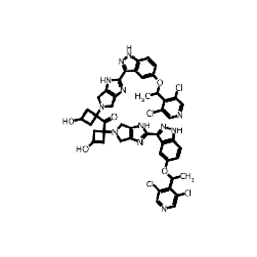 CC(Oc1ccc2[nH]nc(-c3nc4c([nH]3)CN(C3(C(=O)C5(N6Cc7nc(-c8n[nH]c9ccc(OC(C)c%10c(Cl)cncc%10Cl)cc89)[nH]c7C6)CC(O)C5)CC(O)C3)C4)c2c1)c1c(Cl)cncc1Cl